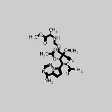 COC(=O)[C@H](C)NCOCC(C#N)(OC)[C@@H](OC(C)=O)[C@@H](OC(C)=O)c1ccc2c(N)ncnn12